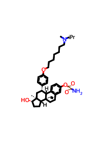 C=C[C@@]12CCc3cc(OS(N)(=O)=O)ccc3[C@H]1[C@@H](c1ccc(OCCCCCCCN(C)C(C)C)cc1)C[C@@]1(C)[C@H]2CC[C@@H]1O